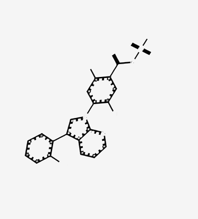 CS(=O)(=O)NC(=O)c1cc(Cl)c(-n2cc(-c3ccccc3C(F)(F)F)c3cccnc32)cc1F